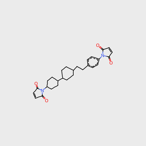 O=C1C=CC(=O)N1c1ccc(CCC2CCC(C3CCC(N4C(=O)C=CC4=O)CC3)CC2)cc1